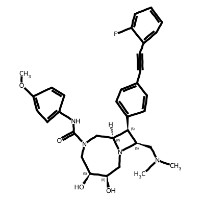 COc1ccc(NC(=O)N2C[C@H](O)[C@H](O)CN3[C@H](CN(C)C)[C@H](c4ccc(C#Cc5ccccc5F)cc4)[C@@H]3C2)cc1